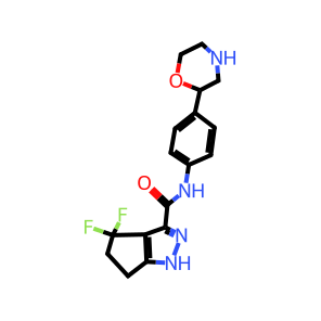 O=C(Nc1ccc(C2CNCCO2)cc1)c1n[nH]c2c1C(F)(F)CC2